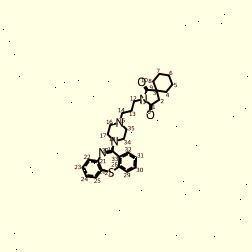 O=C1CC2(CCCCC2)C(=O)N1CCCN1CCN(C2=Nc3ccccc3Sc3ccccc32)CC1